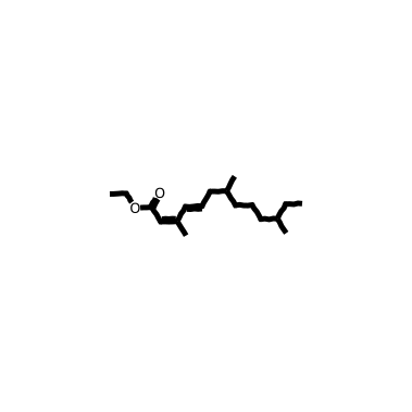 CCOC(=O)C=C(C)C=CCC(C)CCCC(C)CC